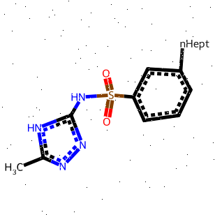 CCCCCCCc1cccc(S(=O)(=O)Nc2nnc(C)[nH]2)c1